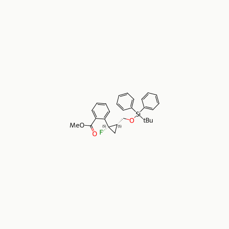 COC(=O)c1ccccc1[C@]1(F)C[C@H]1CO[Si](c1ccccc1)(c1ccccc1)C(C)(C)C